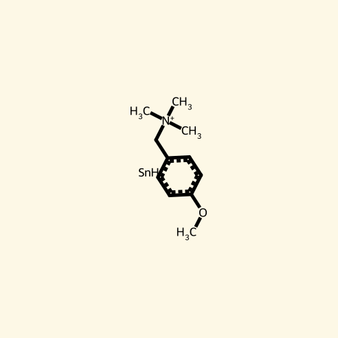 COc1ccc(C[N+](C)(C)C)cc1.[SnH4]